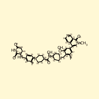 COc1cc(-c2cn(C)c(=O)c3cnccc23)cc(F)c1CN1CCC(N(C)C(=O)C2CCN(c3ccc(NC4CCC(=O)NC4=O)cc3F)CC2)CC1